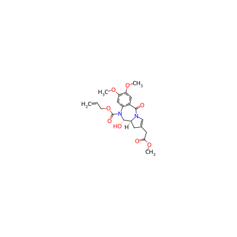 C=CCOC(=O)N1c2cc(OC)c(OC)cc2C(=O)N2C=C(CC(=O)OC)C[C@H]2[C@@H]1O